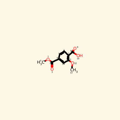 COC(=O)c1ccc(C(=O)O)c(OC)c1